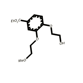 CCOC(=O)c1ccc(OCCO)c(OCCOC)c1